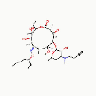 C#CCCN(C)[C@H]1C[C@@H](C)OC(O[C@@H]2[C@@H](C)C(=O)[C@@H](C)C(=O)O[C@H](CC)[C@@](C)(O)[C@H](O)[C@@H](C)/C(=N/O[C@@H](CC)CCCC)[C@H](C)C[C@@]2(C)OC)[C@@H]1O